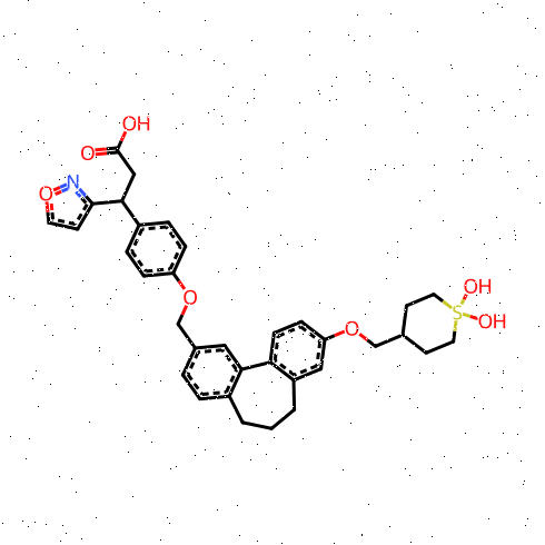 O=C(O)CC(c1ccc(OCc2ccc3c(c2)-c2ccc(OCC4CCS(O)(O)CC4)cc2CCC3)cc1)c1ccon1